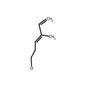 C=C/C(C)=C/CC[O]